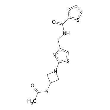 CC(=O)SC1CN(c2nc(CNC(=O)c3cccs3)cs2)C1